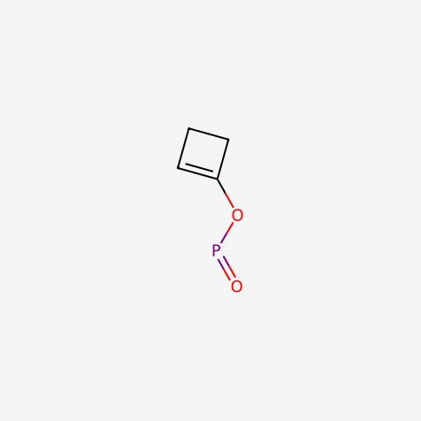 O=POC1=CCC1